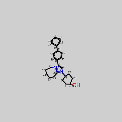 OC1CCC(n2cc(-c3ccc(-c4ccccc4)cc3)[n+]3c2CCCCC3)CC1